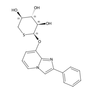 O[C@@H]1[C@@H](O)[C@@H](Oc2cccn3cc(-c4ccccc4)nc23)SC[C@H]1O